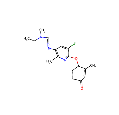 CCN(C)/C=N/c1cc(Br)c(OC2CCC(=O)C=C2C)nc1C